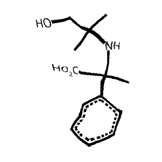 CC(C)(CO)NC(C)(C(=O)O)c1ccccc1